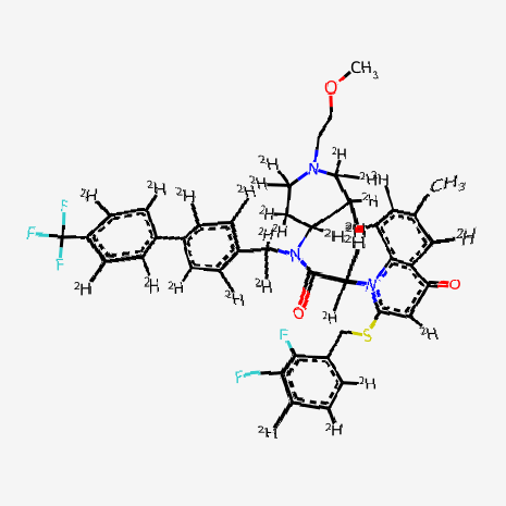 [2H]c1c([2H])c(F)c(F)c(CSc2c([2H])c(=O)c3c([2H])c(C)c([2H])c([2H])c3n2C([2H])([2H])C(=O)N(C([2H])([2H])c2c([2H])c([2H])c(-c3c([2H])c([2H])c(C(F)(F)F)c([2H])c3[2H])c([2H])c2[2H])C2([2H])C([2H])([2H])C([2H])([2H])N(CCOC)C([2H])([2H])C2([2H])[2H])c1[2H]